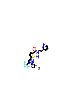 Cn1nc(-c2ccc(C(=O)NCCc3cccnc3)s2)cc1C(F)(F)F